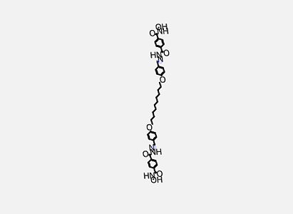 O=C(NO)c1ccc(C(=O)N/N=C/c2ccc(OCCCCCCCCCCCCOc3ccc(/C=N/NC(=O)c4ccc(C(=O)NO)cc4)cc3)cc2)cc1